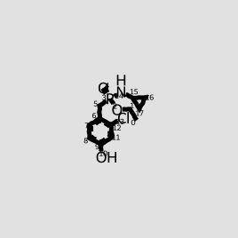 CCOP(=O)(Cc1ccc(O)cc1Cl)NC1CC1